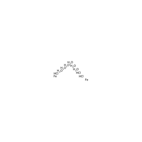 Cl.Cl.Cl.O.O.O.O.O.O.[Fe].[Fe]